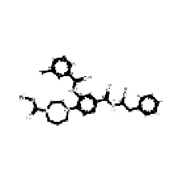 CCNC(=O)N1CCCN(c2ccc(C(=O)NC(Cl)Cc3ccccc3)cc2NC(=O)c2cccc(Cl)c2)CC1